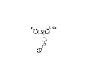 COc1ccc2c(-c3ccc(OCCN4CCCC4)cc3)c(Cc3ccc(F)cc3)oc2c1